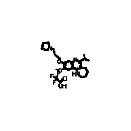 COc1cc2c3c(c(C(C)C)nc2cc1OCCCN1CCCC1)CCCCN3.O=C(O)C(F)(F)F